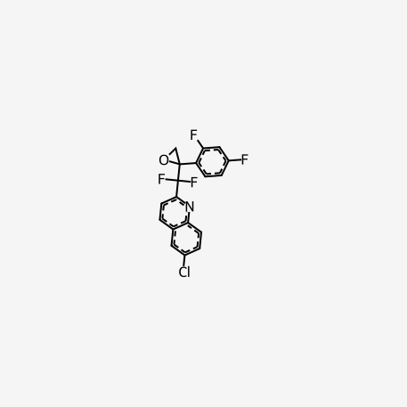 Fc1ccc(C2(C(F)(F)c3ccc4cc(Cl)ccc4n3)CO2)c(F)c1